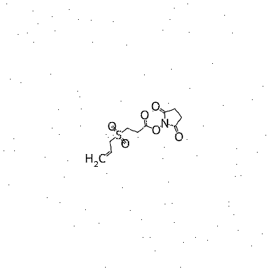 C=CCS(=O)(=O)CCC(=O)ON1C(=O)CCC1=O